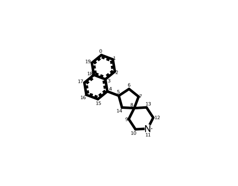 c1ccc2c(C3CCC4(CC[N]CC4)C3)cccc2c1